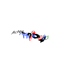 CC(=O)NCCNc1ccc(-n2ccc(OCc3ccc(Cl)cn3)cc2=O)c(=O)[nH]1